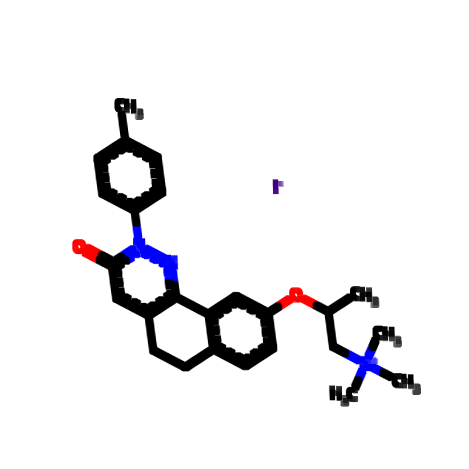 Cc1ccc(-n2nc3c(cc2=O)CCc2ccc(OC(C)C[N+](C)(C)C)cc2-3)cc1.[I-]